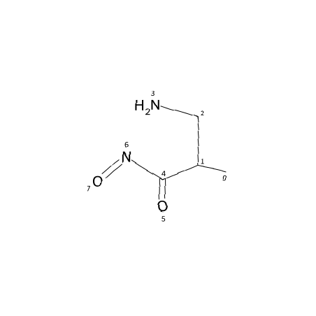 CC(CN)C(=O)N=O